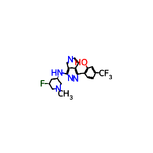 CN1C[C@@H](F)C[C@H](Nc2nnc(-c3ccc(C(F)(F)F)cc3O)c3ccncc23)C1